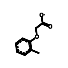 Cc1ccccc1OCC([O])=O